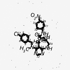 CN(Cc1ccc(Cl)cc1)c1ncnc2c1[C@@H]1SC[C@H](CN2)N1C(=O)Nc1ccc([N+](=O)[O-])cc1